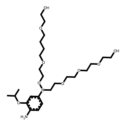 CC(C)Oc1cc(N(CCOCCOCCOCCO)OCCOCCCCOCCO)ccc1N